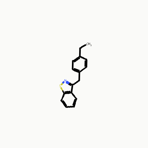 CCc1ccc(Cc2nsc3ccc[c]c23)cc1